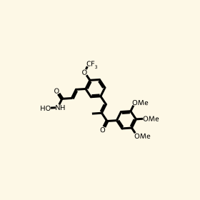 COc1cc(C(=O)C(C)=Cc2ccc(OC(F)(F)F)c(C=CC(=O)NO)c2)cc(OC)c1OC